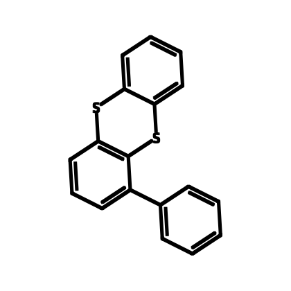 c1ccc(-c2cccc3c2Sc2ccccc2S3)cc1